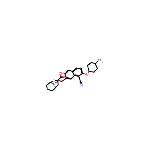 CC1CCC(Oc2ccc3ccc(CCN4C5CCCC4CC(C(=O)O)C5)cc3c2C#N)CC1